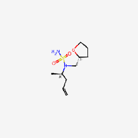 C=CC[C@@H](C)N(C[C@H]1CCCO1)S(N)(=O)=O